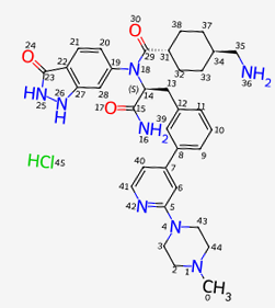 CN1CCN(c2cc(-c3cccc(C[C@@H](C(N)=O)N(c4ccc5c(=O)[nH][nH]c5c4)C(=O)[C@H]4CC[C@H](CN)CC4)c3)ccn2)CC1.Cl